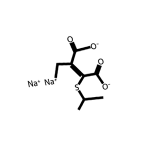 CCC(C(=O)[O-])=C(SC(C)C)C(=O)[O-].[Na+].[Na+]